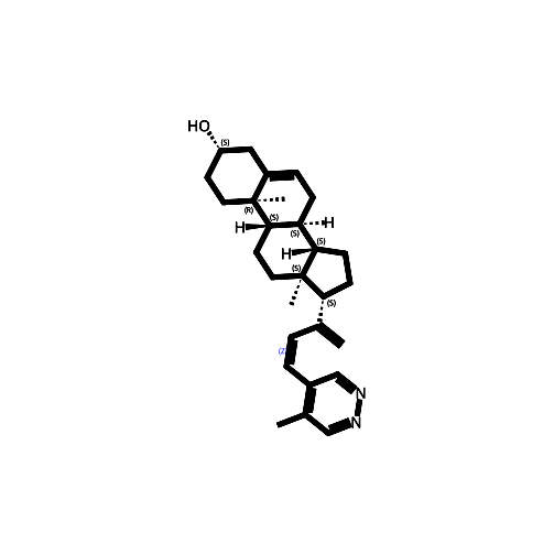 C=C(/C=C\c1cnncc1C)[C@H]1CC[C@H]2[C@@H]3CC=C4C[C@@H](O)CC[C@]4(C)[C@H]3CC[C@]12C